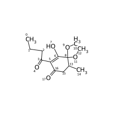 CCCC(=O)C1=C(O)C(OC)(OC)C(C)CC1=O